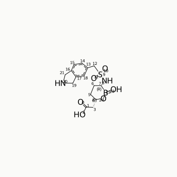 O=C(O)C[C@@H]1CC[C@H](NS(=O)(=O)Cc2ccc3c(c2)CNC3)B(O)O1